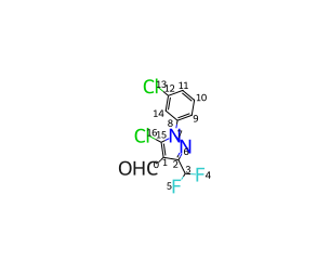 O=Cc1c(C(F)F)nn(-c2cccc(Cl)c2)c1Cl